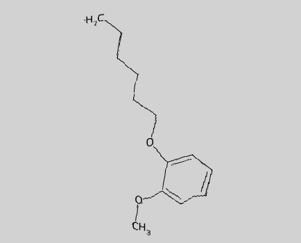 [CH2]CCCCCOc1ccccc1OC